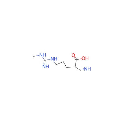 CNC(=N)NCCCC(C=N)C(=O)O